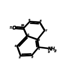 Nc1cccc2c1CC=CC2=O